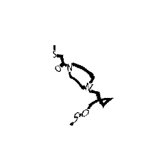 CSCC(=O)N1CCN(CC2(COSC)CC2)CC1